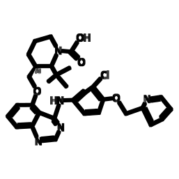 CC(C)(C)C1[C@@H](COc2cccc3ncnc(Nc4ccc(OCc5ccccn5)c(Cl)c4)c23)CCCN1C(=O)O